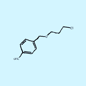 O=Cc1ccc(COCCCCl)cc1